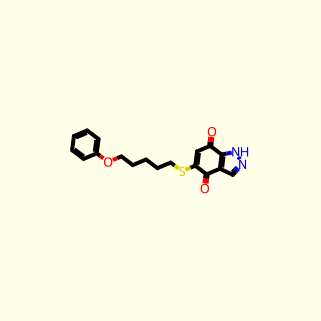 O=C1C(SCCCCCOc2ccccc2)=CC(=O)c2[nH]ncc21